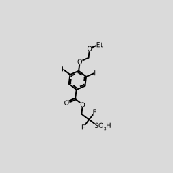 CCOCOc1c(I)cc(C(=O)OCC(F)(F)S(=O)(=O)O)cc1I